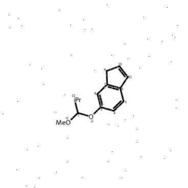 COC(Oc1ccc2c(c1)CC=C2)C(C)C